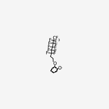 [O]c1ccccc1OCCCC(F)(F)C(F)(F)C(F)(F)C(F)(F)C(F)(F)C(F)(F)F